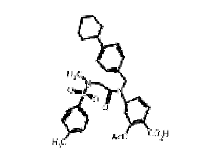 CC(=O)Oc1cc(N(Cc2ccc(C3CCCCC3)cc2)C(=O)CN(C)S(=O)(=O)c2ccc(C)cc2)ccc1C(=O)O